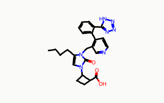 CCCCc1cn(C2CCC2C(=O)O)c(=O)n1Cc1cnccc1-c1ccccc1-c1nnn[nH]1